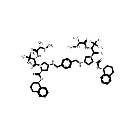 C=C([C@@H](NC(=O)[C@H](C)NC)C(C)(C)C)N1C[C@@H](NCc2ccc(CN[C@H]3C[C@@H](C(=O)N[C@@H]4CCCc5ccccc54)N(C(=O)[C@@H](NC(=O)[C@H](C)NC)C(C)(C)C)C3)cc2)C[C@H]1C(=O)N[C@@H]1CCCc2ccccc21